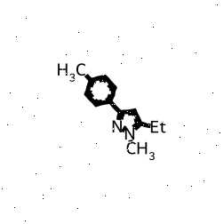 CCc1cc(-c2ccc(C)cc2)nn1C